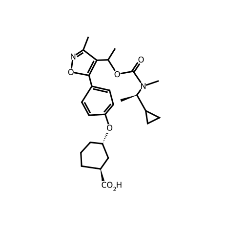 Cc1noc(-c2ccc(O[C@H]3CCC[C@H](C(=O)O)C3)cc2)c1C(C)OC(=O)N(C)[C@H](C)C1CC1